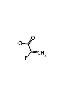 C=C(F)C([O])=O